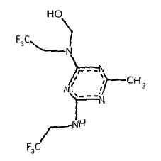 Cc1nc(NCC(F)(F)F)nc(N(CO)CC(F)(F)F)n1